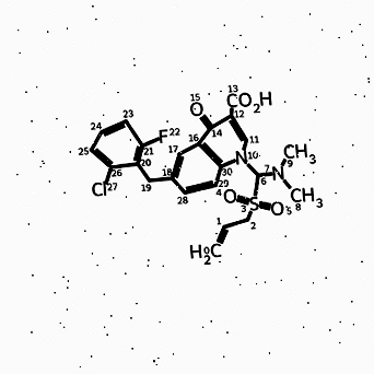 C=CCS(=O)(=O)C(N(C)C)n1cc(C(=O)O)c(=O)c2cc(Cc3c(F)cccc3Cl)ccc21